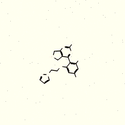 Cc1cc(Cl)cc(OCCn2cccn2)c1-c1nc(N)nc2c1CNC2